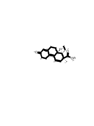 CC[C@H]1[C@@H]2CCC3=CC(=O)CCC3=C2C=C[C@]1(C)C(=O)O